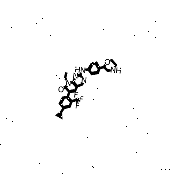 CCn1c(=O)c(-c2ccc(C3CC3)cc2C(F)(F)F)cc2cnc(Nc3ccc(C4CNCCO4)cc3)nc21